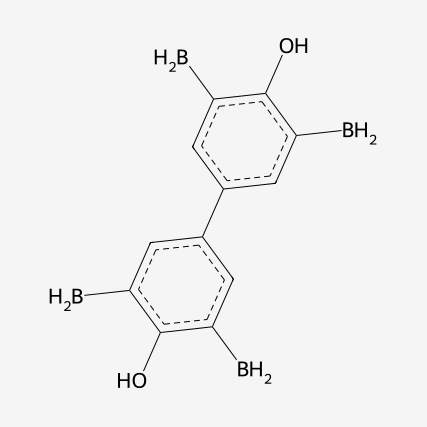 Bc1cc(-c2cc(B)c(O)c(B)c2)cc(B)c1O